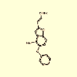 CCCCCCC=Cc1cc2c(C(C)(C)C)c(Oc3ccccc3)ccc2o1